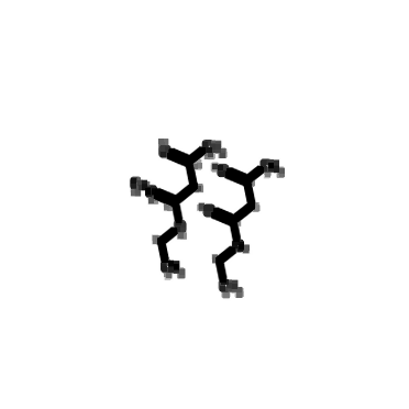 CCOC(=O)CC(C)=O.CCOC(=O)CC(C)=O.[Cu]